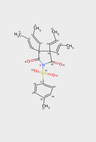 CC=CC1(C=CC)C(=O)N(S(=O)(=O)c2ccc(C)cc2)C(=O)C1(C=CC)C=CC